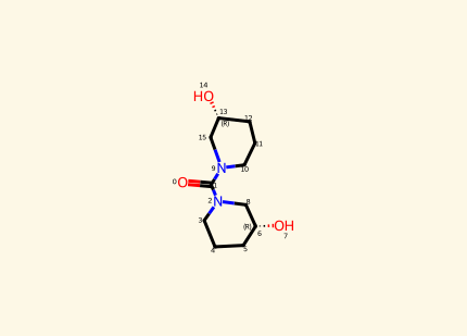 O=C(N1CCC[C@@H](O)C1)N1CCC[C@@H](O)C1